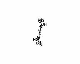 [O-][n+]1ccc(C(O)COCCOCCOCCOCC(O)c2cc[n+]([O-])c3ccccc23)c2ccccc21